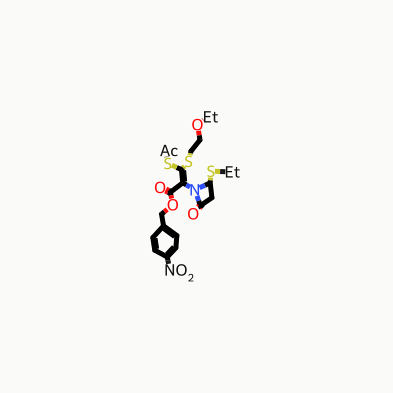 CCOCCS/C(SC(C)=O)=C(/C(=O)OCc1ccc([N+](=O)[O-])cc1)N1C(=O)CC1SCC